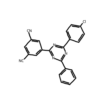 N#Cc1cc(C#N)cc(-c2nc(-c3ccccc3)nc(-c3ccc(Cl)cc3)n2)c1